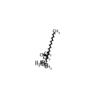 CCCCCCCCCCCCCCC(CCC[Si](OC)(OC)OC)C(C)(C)Cl